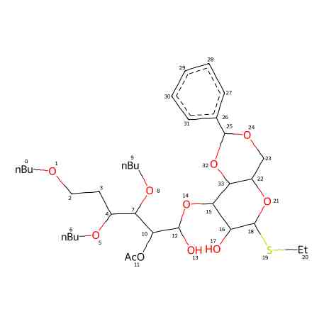 CCCCOCCC(OCCCC)C(OCCCC)C(OC(C)=O)C(O)OC1C(O)C(SCC)OC2COC(c3ccccc3)OC21